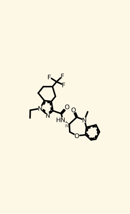 CCn1nc(C(=O)N[C@H]2COc3ccccc3N(C)C2=O)c2c1CCC(C(F)(F)F)C2